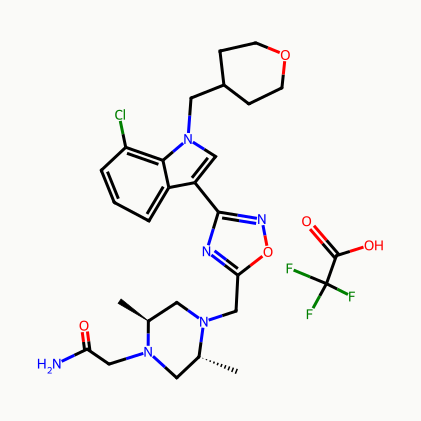 C[C@@H]1CN(CC(N)=O)[C@@H](C)CN1Cc1nc(-c2cn(CC3CCOCC3)c3c(Cl)cccc23)no1.O=C(O)C(F)(F)F